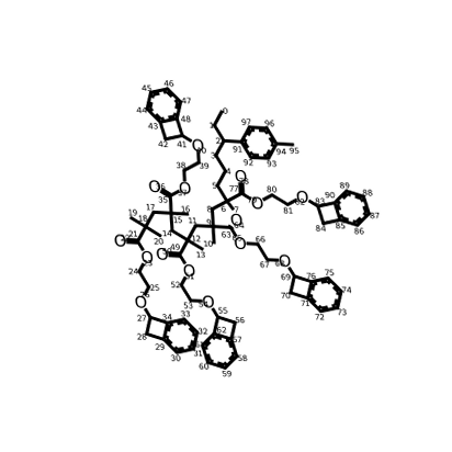 CCC(CCCC(C)(CC(C)(CC(C)(CC(C)(CC(C)(C)C(=O)OCCOC1Cc2ccccc21)C(=O)OCCOC1Cc2ccccc21)C(=O)OCCOC1Cc2ccccc21)C(=O)OCCOC1Cc2ccccc21)C(=O)OCCOC1Cc2ccccc21)c1ccc(C)cc1